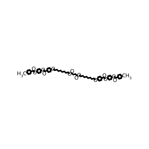 Cc1ccc(C(=O)Oc2ccc(OC(=O)c3ccc(OCCCCCCCCOC(=O)CCC(=O)OCCCCCCCCOc4ccc(C(=O)Oc5ccc(OC(=O)c6ccc(C)cc6)cc5)cc4)cc3)cc2)cc1